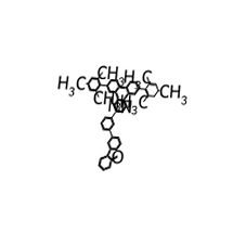 CC1=CC(C)CC(C)=C1c1ccc2c3ccc(-c4c(C)cc(C)cc4C)cc3c3nc(-c4cccc(-c5ccc6oc7ccccc7c6c5)c4)cnc3c2c1